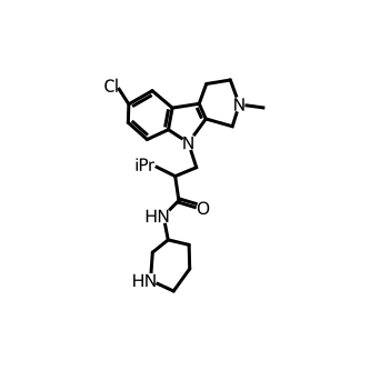 CC(C)C(Cn1c2c(c3cc(Cl)ccc31)CCN(C)C2)C(=O)NC1CCCNC1